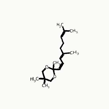 CC(C)=CCC/C(C)=C/C=C\C1(C)OCC(C)(C)CO1